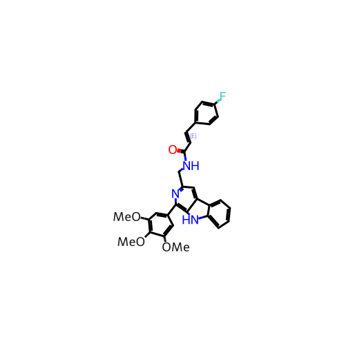 COc1cc(-c2nc(CNC(=O)/C=C/c3ccc(F)cc3)cc3c2[nH]c2ccccc23)cc(OC)c1OC